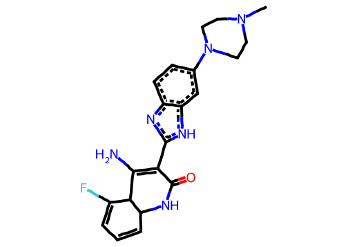 CN1CCN(c2ccc3nc(C4=C(N)C5C(F)=CC=CC5NC4=O)[nH]c3c2)CC1